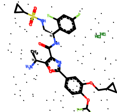 C[C@H](N)c1oc(-c2ccc(OC(F)F)c(OCC3CC3)c2)nc1C(=O)N[C@H](CNS(=O)(=O)C1CC1)c1ccc(F)cc1F.Cl.Cl